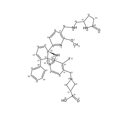 COc1nc([C@@]2(Nc3nccc(CN4CC(C(=O)O)C4)c3F)C=CC=C(c3ccccc3)C2(Cl)Cl)ccc1CNCC1CCC(=O)N1